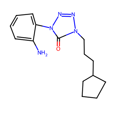 Nc1ccccc1-n1nnn(CCCC2CCCC2)c1=O